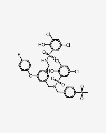 CS(=O)(=O)c1ccc(CN(Cc2cc(CNS(=O)(=O)c3cc(Cl)cc(Cl)c3O)cc(Oc3ccc(F)cc3)c2)S(=O)(=O)c2cc(Cl)cc(Cl)c2O)cc1